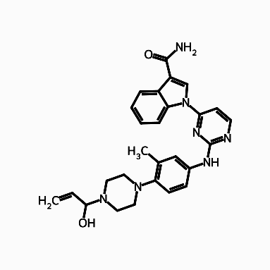 C=CC(O)N1CCN(c2ccc(Nc3nccc(-n4cc(C(N)=O)c5ccccc54)n3)cc2C)CC1